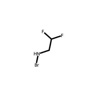 FC(F)CNBr